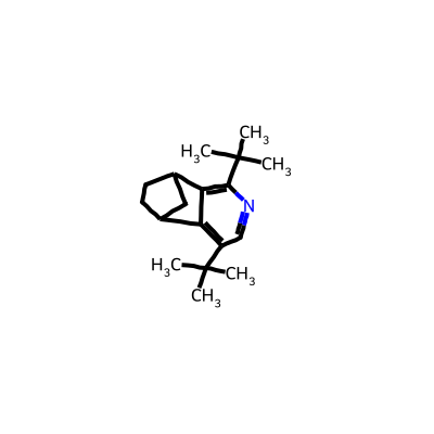 CC(C)(C)c1cnc(C(C)(C)C)c2c1C1CCC2C1